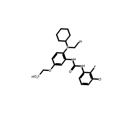 CC(C)CN(c1ccc(OCC(=O)O)cc1NC(=O)Nc1cccc(Cl)c1F)C1CCCCC1